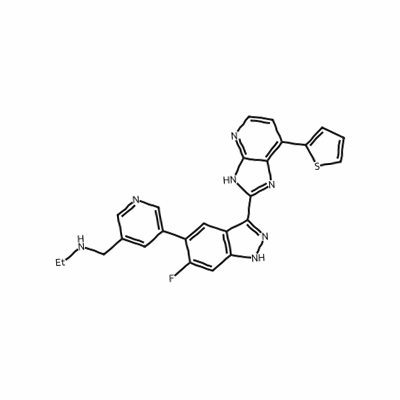 CCNCc1cncc(-c2cc3c(-c4nc5c(-c6cccs6)ccnc5[nH]4)n[nH]c3cc2F)c1